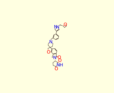 O=C1CC[C@H](N2Cc3c(ccc4c3OCC43CCN(Cc4cccc(-c5cnn(C[C@@H]6CCO6)c5)c4)CC3)C2=O)C(=O)N1